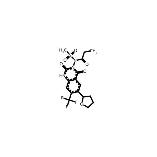 CCC(=O)N(n1c(=O)[nH]c2cc(C(F)(F)F)c(C3CCCO3)cc2c1=O)S(C)(=O)=O